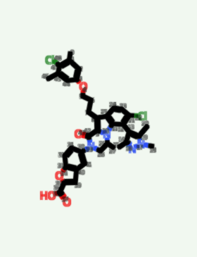 Cc1cc(OCCCc2c3n(c4c(-c5c(C)nn(C)c5C)c(Cl)ccc24)C(C)CN(c2ccc4oc(C(=O)O)cc4c2)C3=O)cc(C)c1Cl